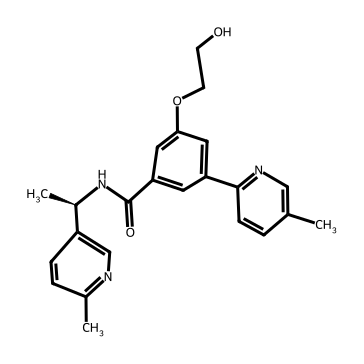 Cc1ccc(-c2cc(OCCO)cc(C(=O)N[C@H](C)c3ccc(C)nc3)c2)nc1